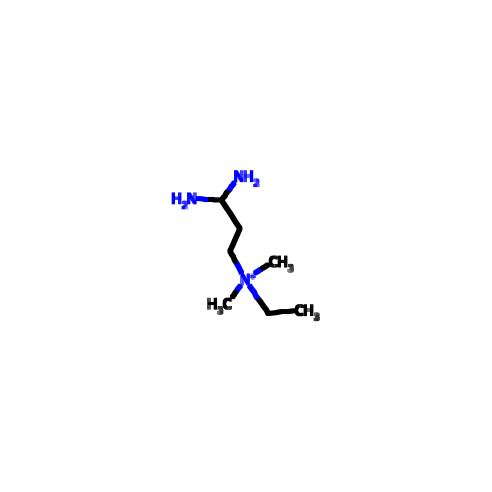 CC[N+](C)(C)CCC(N)N